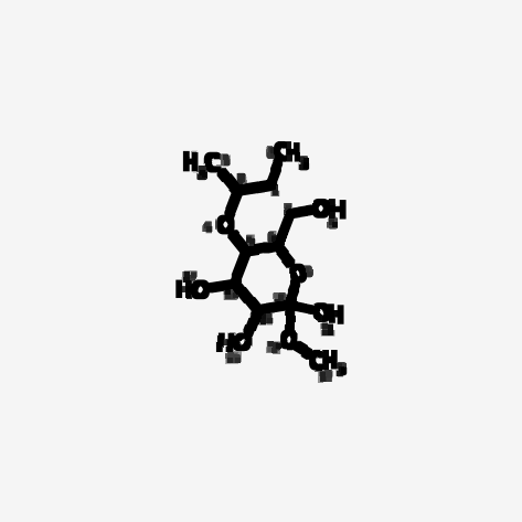 CCC(C)OC1C(CO)OC(O)(OC)C(O)C1O